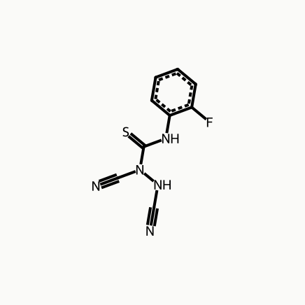 N#CNN(C#N)C(=S)Nc1ccccc1F